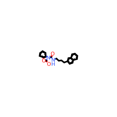 O=C(NCCCCc1ccc2ccccc2c1)n1c(=O)oc2ccccc21